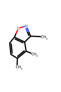 Cc1ccc2onc(C)c2c1C